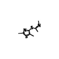 C/N=C(/C)Sc1nc(C)sc1C